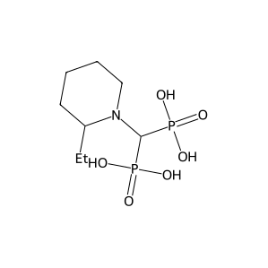 CCC1CCCCN1C(P(=O)(O)O)P(=O)(O)O